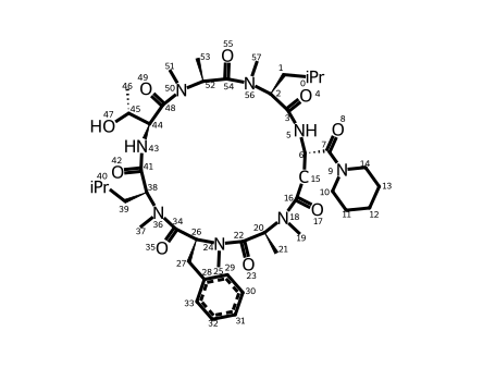 CC(C)C[C@H]1C(=O)N[C@H](C(=O)N2CCCCC2)CC(=O)N(C)[C@@H](C)C(=O)N(C)[C@@H](Cc2ccccc2)C(=O)N(C)[C@@H](CC(C)C)C(=O)N[C@@H]([C@@H](C)O)C(=O)N(C)[C@@H](C)C(=O)N1C